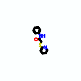 O=C(CSc1ccccn1)Nc1ccccc1